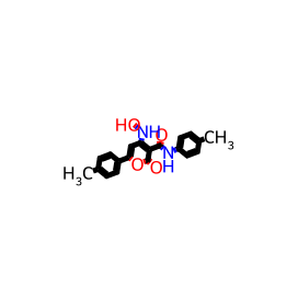 Cc1ccc(NC(=O)c2c(NO)cc(-c3ccc(C)cc3)oc2=O)cc1